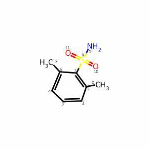 Cc1[c]ccc(C)c1S(N)(=O)=O